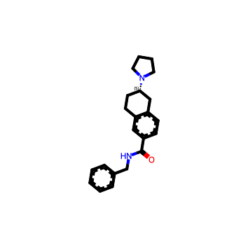 O=C(NCc1ccccc1)c1ccc2c(c1)CC[C@H](N1CCCC1)C2